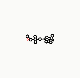 c1ccc2c(c1)-c1ccccc1C21c2c(ccc3cc(-c4ccc(-c5c6ccccc6c(-c6ccc7oc8ccccc8c7c6)c6ccccc56)cc4)ccc23)-c2c1c1ccccc1c1ccccc21